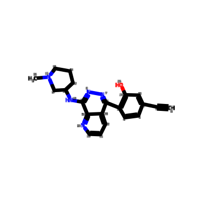 C#Cc1ccc(-c2nnc(NC3CCCN(C)C3)c3ncccc23)c(O)c1